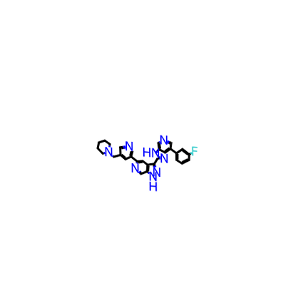 Fc1cccc(-c2cncc3[nH]c(-c4n[nH]c5cnc(-c6cncc(CN7CCCCC7)c6)cc45)nc23)c1